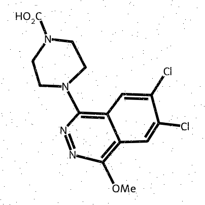 COc1nnc(N2CCN(C(=O)O)CC2)c2cc(Cl)c(Cl)cc12